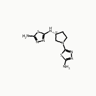 Nc1nnc(N[C@@H]2CCN(c3nnc(N)s3)C2)s1